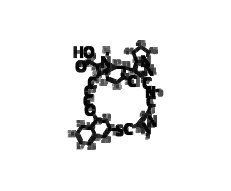 CN1Cc2cc(n(C)n2)CSc2cc(c3ccccc3c2)OCCCc2c(C(=O)O)n(C)c3c(c(Cl)ccc23)-c2c(nn3c2CCC3)C1